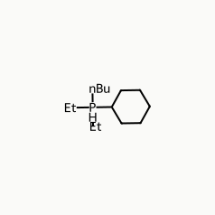 CCCC[PH](CC)(CC)C1CCCCC1